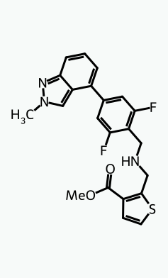 COC(=O)c1ccsc1CNCc1c(F)cc(-c2cccc3nn(C)cc23)cc1F